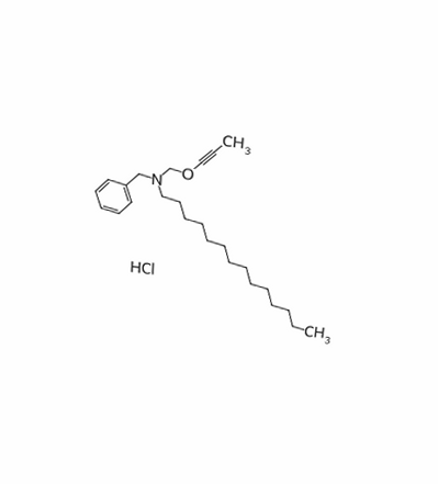 CC#COCN(CCCCCCCCCCCCCC)Cc1ccccc1.Cl